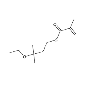 C=C(C)C(=O)SCCC(C)(C)OCC